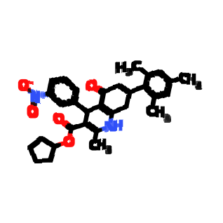 CC1=C(C(=O)OC2CCCC2)C(c2cccc([N+](=O)[O-])c2)C2=C(CC(c3c(C)cc(C)cc3C)CC2=O)N1